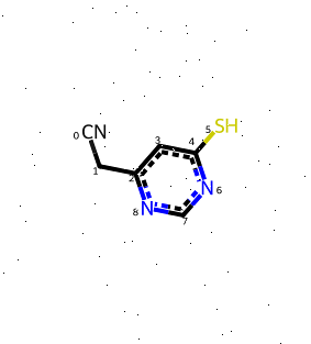 N#CCc1cc(S)ncn1